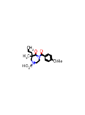 C=CCC1(C)CN(C(=O)O)CCN(C(=O)c2ccc(OC)cc2)C1=O